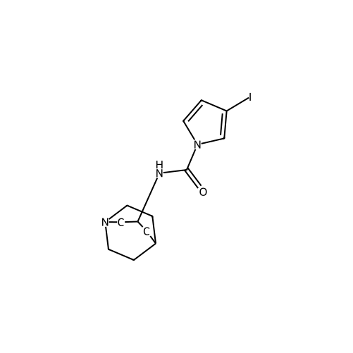 O=C(NC1CC2CCN(CC2)C1)n1ccc(I)c1